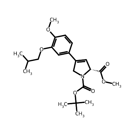 COC(=O)[C@H]1C=C(c2ccc(OC)c(OCC(C)C)c2)CN1C(=O)OC(C)(C)C